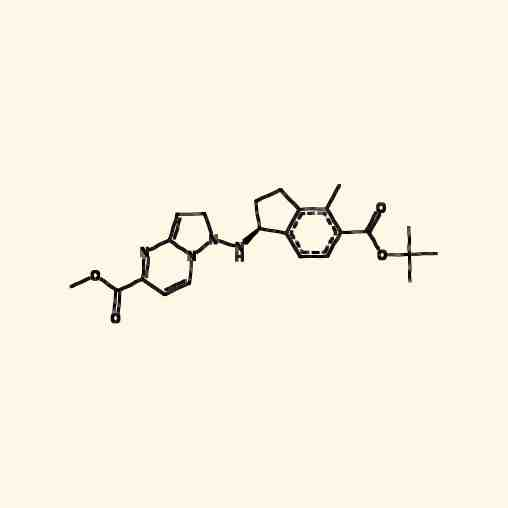 COC(=O)C1=NC2=CCN(N[C@H]3CCc4c3ccc(C(=O)OC(C)(C)C)c4C)N2C=C1